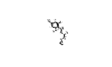 CC(=C/C=O)/C=C/c1c(C)cc(C)cc1C